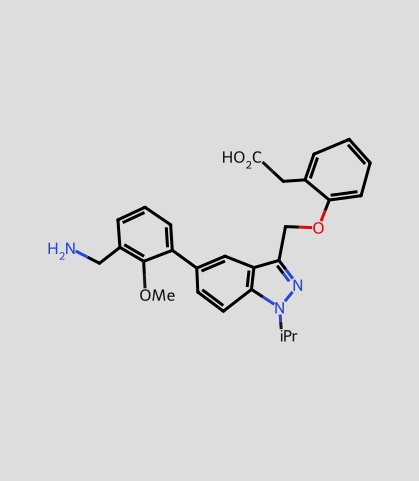 COc1c(CN)cccc1-c1ccc2c(c1)c(COc1ccccc1CC(=O)O)nn2C(C)C